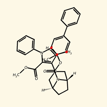 COC(=O)c1c(N2C[C@@H]3CC[C@@H](C2)N3C(=O)OC(C)(C)C)c2ccc(-c3ccccc3)cc2n1-c1ccccc1